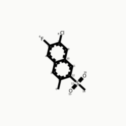 Cc1cc2cc(F)c(Cl)cc2cc1S(C)(=O)=O